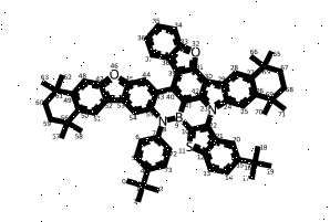 CC(C)(C)c1ccc(N2B3c4sc5ccc(C(C)(C)C)cc5c4-n4c5cc6c(cc5c5c7oc8ccccc8c7c(c3c54)-c3cc4oc5cc7c(cc5c4cc32)C(C)(C)CCC7(C)C)C(C)(C)CCC6(C)C)cc1